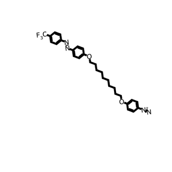 N#[N+]c1ccc(OCCCCCCCCCCOc2ccc(N=Nc3ccc(C(F)(F)F)cc3)cc2)cc1